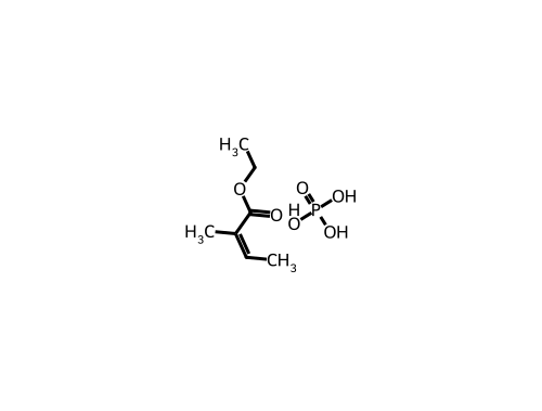 CC=C(C)C(=O)OCC.O=P(O)(O)O